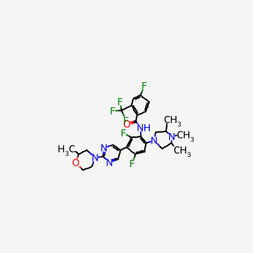 CC1CN(c2ncc(-c3c(F)cc(N4CC(C)N(C)C(C)C4)c(NC(=O)c4ccc(F)cc4C(F)(F)F)c3F)cn2)CCO1